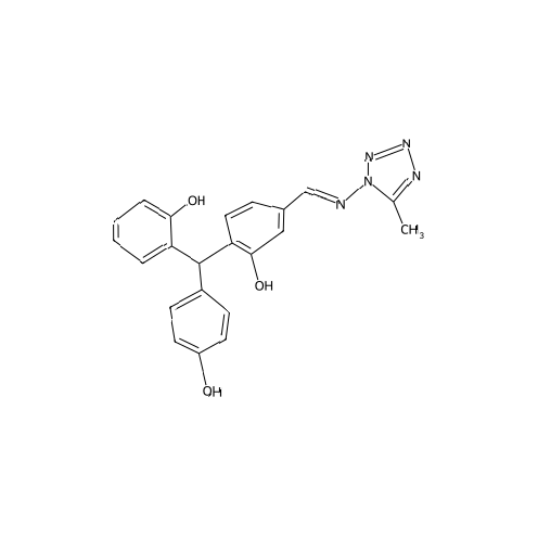 Cc1nnnn1N=Cc1ccc(C(c2ccc(O)cc2)c2ccccc2O)c(O)c1